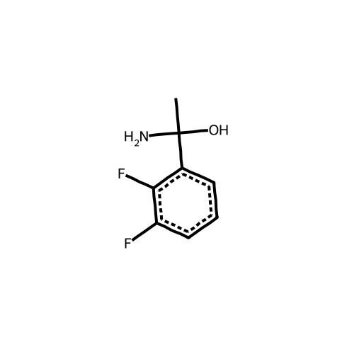 CC(N)(O)c1cccc(F)c1F